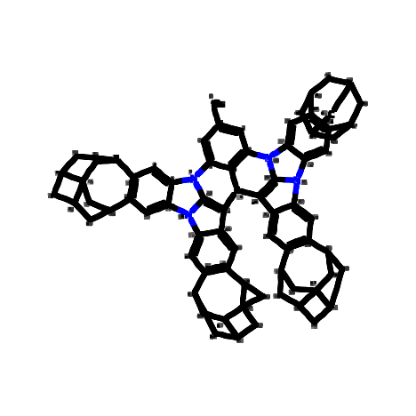 CC(C)(C)c1cc2c3c(c1)-n1c4cc5c(cc4n4c6cc7c(cc6c(c14)B3c1c3cc4c(cc3n3c6cc8c(cc6n-2c13)C1CC2CC(C1)CC8C2)C1CC2CC3CC4CC32C1)C1CC12CC1CC7CC12)C1CC2CC3CC5CC32C1